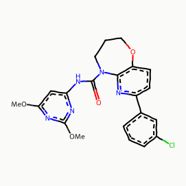 COc1cc(NC(=O)N2CCCOc3ccc(-c4cccc(Cl)c4)nc32)nc(OC)n1